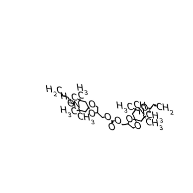 C=CCON1C(C)(C)CC2(CC1(C)C)OCC(COC(=O)OCC1COC3(CC(C)(C)N(OCC=C)C(C)(C)C3)O1)O2